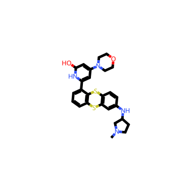 CN1CCC(Nc2ccc3c(c2)Sc2cccc(C4=CC(N5CCOCC5)=CC(O)N4)c2S3)C1